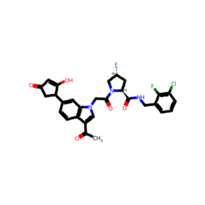 CC(=O)c1cn(CC(=O)N2C[C@H](F)C[C@H]2C(=O)NCc2cccc(Cl)c2F)c2cc(C3CC(=O)C=C3O)ccc12